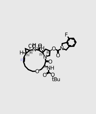 CC(C)(C)OC(=O)N[C@H]1COCCC/C=C\[C@@H]2C[C@@]2(C(=O)O)NC(=O)[C@@H]2C[C@@H](OC(=O)N3Cc4cccc(F)c4C3)CN2C1=O